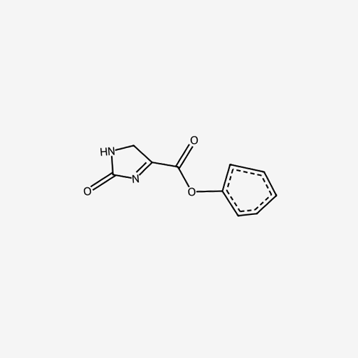 O=C1N=C(C(=O)Oc2ccccc2)CN1